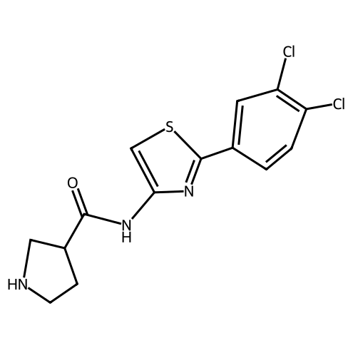 O=C(Nc1csc(-c2ccc(Cl)c(Cl)c2)n1)C1CCNC1